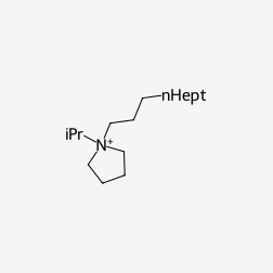 CCCCCCCCCC[N+]1(C(C)C)CCCC1